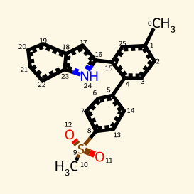 Cc1ccc(-c2ccc(S(C)(=O)=O)cc2)c(-c2cc3ccccc3[nH]2)c1